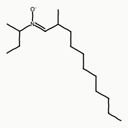 CCCCCCCCCC(C)C=[N+]([O-])C(C)CC